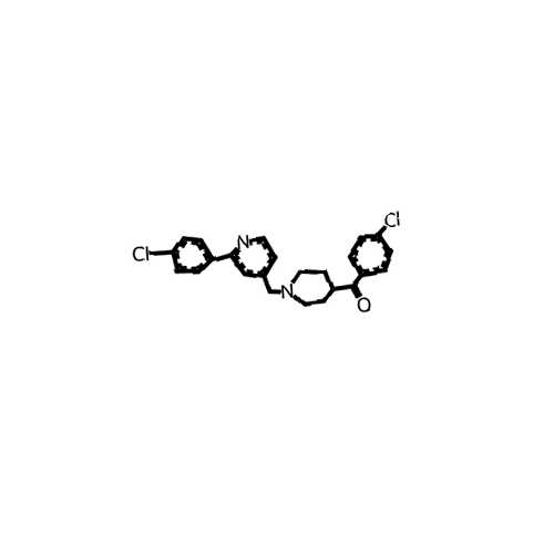 O=C(c1ccc(Cl)cc1)C1CCN(Cc2ccnc(-c3ccc(Cl)cc3)c2)CC1